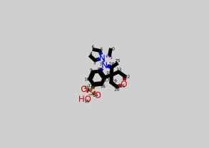 CC[N+](CC)(CC)N1c2ccc(S(=O)(=O)O)cc2C2(CCOCC2)C1C